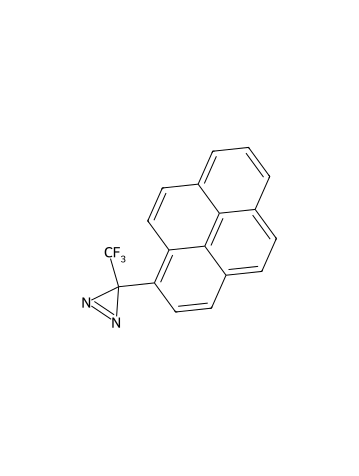 FC(F)(F)C1(c2ccc3ccc4cccc5ccc2c3c45)N=N1